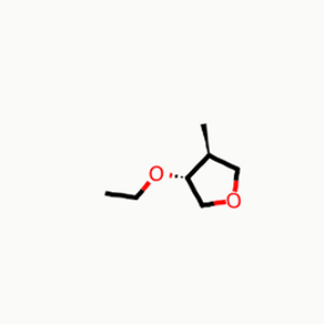 CCO[C@H]1COC[C@@H]1C